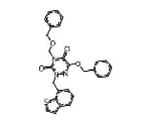 O=c1c(OCc2ccccc2)nn(Cc2cccc3ccsc23)c(=O)n1COCc1ccccc1